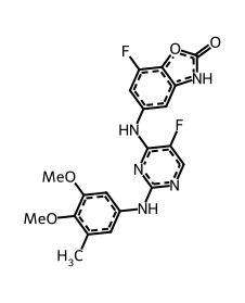 COc1cc(Nc2ncc(F)c(Nc3cc(F)c4oc(=O)[nH]c4c3)n2)cc(C)c1OC